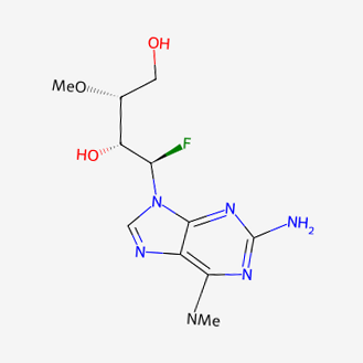 CNc1nc(N)nc2c1ncn2[C@H](F)[C@H](O)[C@@H](CO)OC